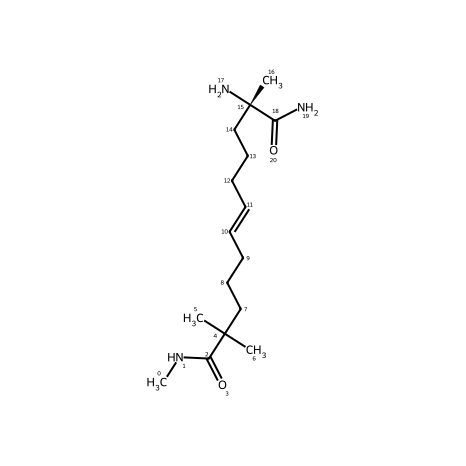 CNC(=O)C(C)(C)CCC/C=C/CCC[C@](C)(N)C(N)=O